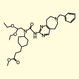 CCOC(CN(C(=O)Nc1ncc2c(n1)CCN(Cc1ccccc1)CC2)C1CCC(CCC(=O)OC)CC1)OCC